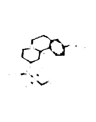 CCS(=O)(=O)N(C)[C@@H]1CCN2CCc3cc(OC)ccc3[C@@H]2C1